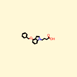 O=C(O)CCCn1ccc2c(OCc3ccccc3)cccc21